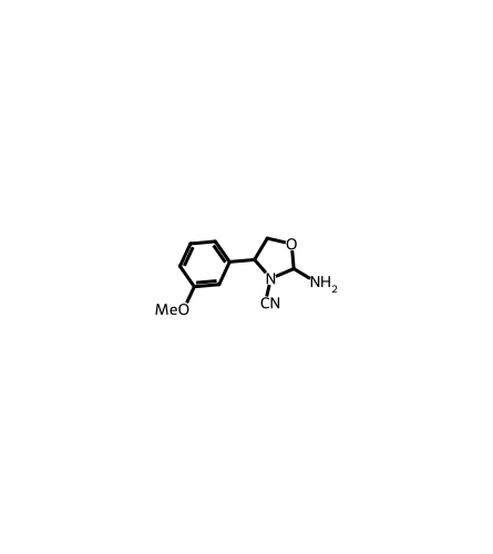 COc1cccc(C2COC(N)N2C#N)c1